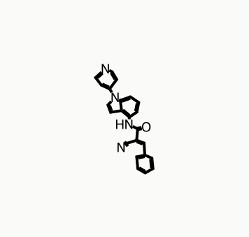 N#CC(=Cc1ccccc1)C(=O)Nc1cccc2c1ccn2-c1ccncc1